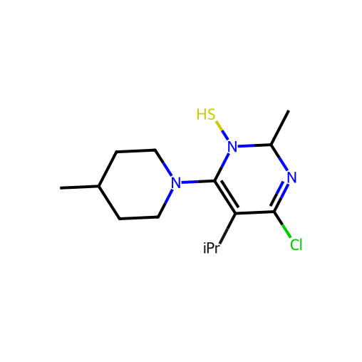 CC1CCN(C2=C(C(C)C)C(Cl)=NC(C)N2S)CC1